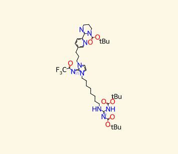 CC(C)(C)OC(=O)/N=C(/NCCCCCCCCn1ccn(CCCc2ccc(C3=NCCCN3C(=O)OC(C)(C)C)nc2)/c1=N\C(=O)C(F)(F)F)NC(=O)OC(C)(C)C